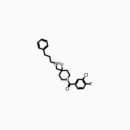 O=C(c1ccc(F)c(Cl)c1)N1CCC(F)(CNCCCc2ccccc2)CC1